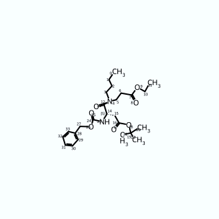 CCCCN(CCC(=O)OCC)C(=O)[C@H](CC(=O)OC(C)(C)C)NC(=O)OCc1ccccc1